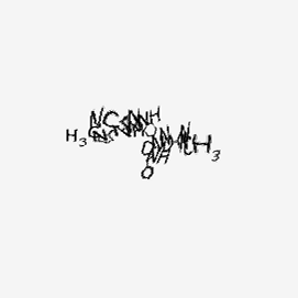 CN1CCCC1CNc1nc(NC2CCC(N(C(=O)NCc3ccccc3)c3ccc(-c4cnn(C)c4)cn3)CC2)ncc1C#N